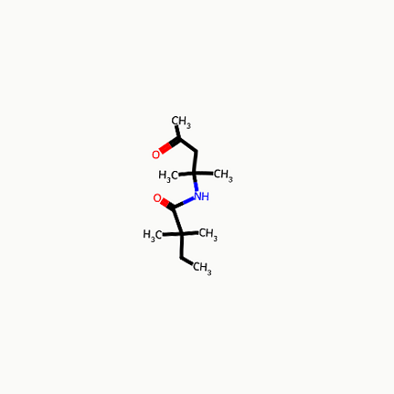 CCC(C)(C)C(=O)NC(C)(C)CC(C)=O